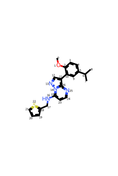 COc1ccc(C(C)C)cc1-c1cnn2c(NCc3cccs3)ccnc12